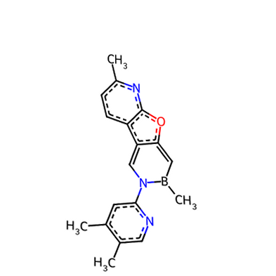 CB1C=c2oc3nc(C)ccc3c2=CN1c1cc(C)c(C)cn1